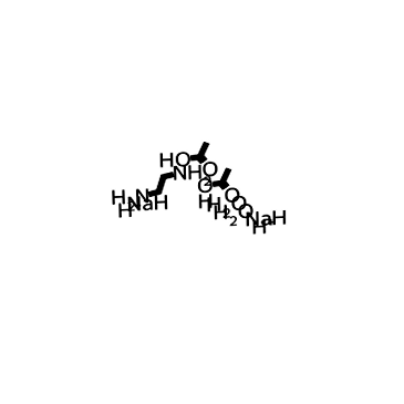 CC(=O)O.CC(=O)O.NCCN.O.O.[H+].[H+].[NaH].[NaH]